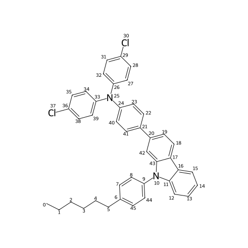 CCCCCCc1ccc(-n2c3ccccc3c3ccc(-c4ccc(N(c5ccc(Cl)cc5)c5ccc(Cl)cc5)cc4)cc32)cc1